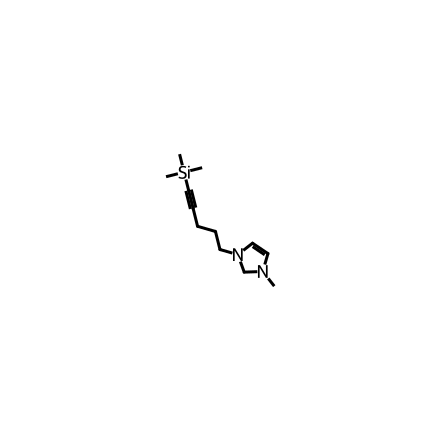 CN1C=CN(CCCC#C[Si](C)(C)C)C1